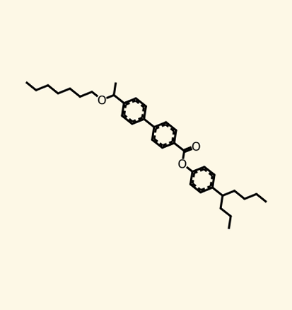 CCCCCCCOC(C)c1ccc(-c2ccc(C(=O)Oc3ccc(C(CCC)CCCC)cc3)cc2)cc1